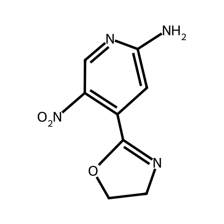 Nc1cc(C2=NCCO2)c([N+](=O)[O-])cn1